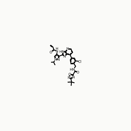 C=CC(=O)Nc1cn(C(C)C)nc1-c1nc2c(-c3ccc(CNC(=O)c4nc(C(C)(C)C)no4)c(Cl)c3)ccnc2[nH]1